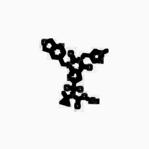 Cn1cc(Cn2c(=O)c3cc(S(=O)(=O)N(C(=O)OC(C)(C)C)C4(C)CC4)sc3n(Cc3cnc4c(c3)COC4)c2=O)cn1